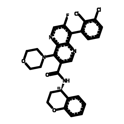 O=C(N[C@H]1CCOc2ccccc21)c1cnc2c(-c3cccc(Cl)c3Cl)c(F)cnc2c1N1CCOCC1